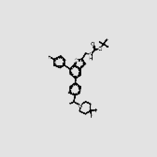 CC(c1ccc(-c2cc(-c3ccc(F)cc3)c3oc(CNC(=O)OC(C)(C)C)cc3c2)cc1)N1CCC(F)(F)CC1